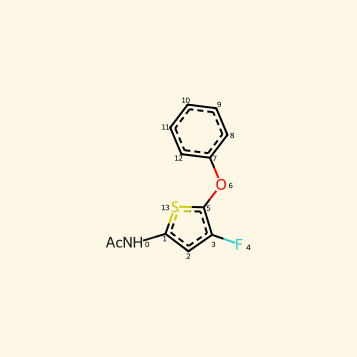 CC(=O)Nc1cc(F)c(Oc2ccccc2)s1